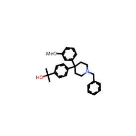 COc1cccc(C2(c3ccc(C(C)(C)O)cc3)CCN(Cc3ccccc3)CC2)c1